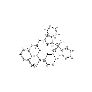 CN(CCN(Cc1cccnc1)Cc1cn(S(=O)(=O)c2ccccc2)c2ccccc12)C1CCCCC1